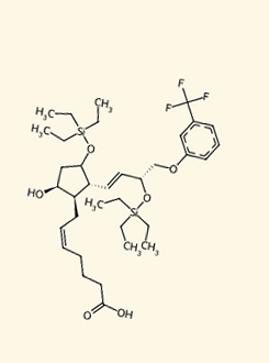 CC[Si](CC)(CC)OC1C[C@H](O)[C@H](C/C=C\CCCC(=O)O)[C@H]1/C=C/[C@H](COc1cccc(C(F)(F)F)c1)O[Si](CC)(CC)CC